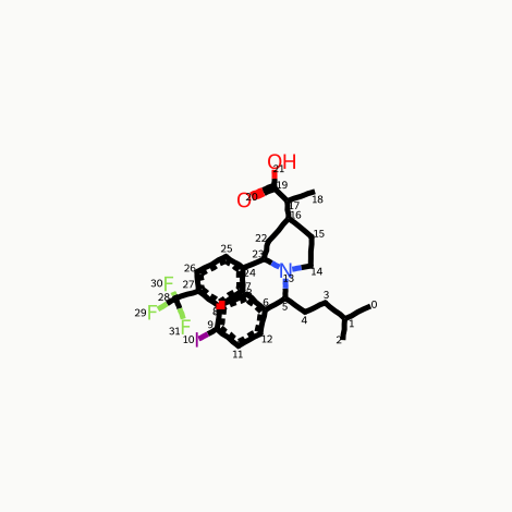 CC(C)CCC(c1ccc(I)cc1)N1CCC(C(C)C(=O)O)CC1c1ccc(C(F)(F)F)cc1